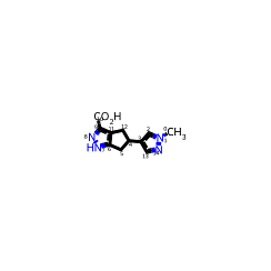 Cn1cc(C2Cc3[nH]nc(C(=O)O)c3C2)cn1